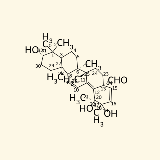 CC1(C)C2CC[C@]3(C)C(C=CC4=C5[C@](C=O)(C=C[C@](C)(O)[C@@]5(C)O)CC[C@]43C)[C@@]2(C)CC[C@@H]1O